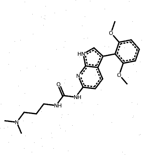 COc1cccc(OC)c1-c1c[nH]c2nc(NC(=O)NCCCN(C)C)ccc12